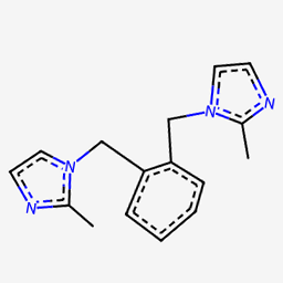 Cc1nccn1Cc1ccccc1Cn1ccnc1C